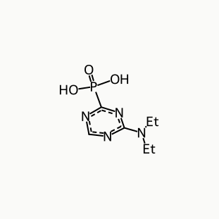 CCN(CC)c1ncnc(P(=O)(O)O)n1